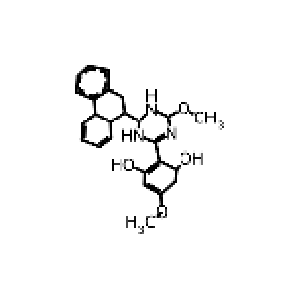 COC1=CC(O)=C(C2=NC(OC)NC(C3Cc4ccccc4C4C=CC=CC43)N2)C(O)C1